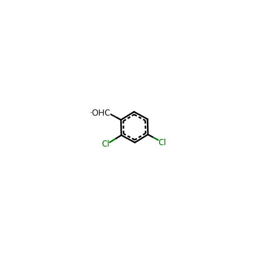 O=[C]c1ccc(Cl)cc1Cl